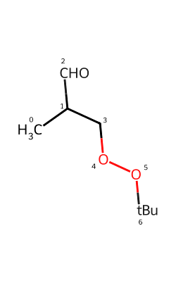 CC(C=O)COOC(C)(C)C